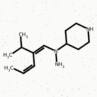 C/C=C\C(=C/N(N)C1CCNCC1)C(C)C